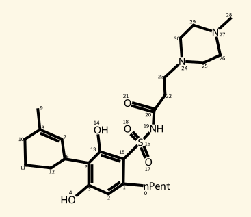 CCCCCc1cc(O)c(C2C=C(C)CCC2)c(O)c1S(=O)(=O)NC(=O)CCN1CCN(C)CC1